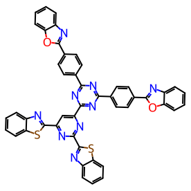 c1ccc2oc(-c3ccc(-c4nc(-c5ccc(-c6nc7ccccc7o6)cc5)nc(-c5cc(-c6nc7ccccc7s6)nc(-c6nc7ccccc7s6)n5)n4)cc3)nc2c1